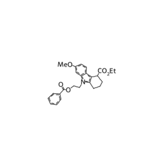 CCOC(=O)C1CCCc2c1c1ccc(OC)cc1n2CCOC(=O)c1ccccc1